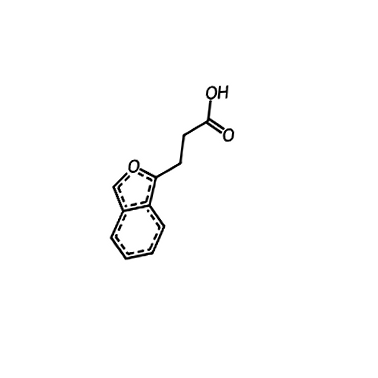 O=C(O)CCc1occ2ccccc12